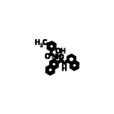 Cc1ccc(O)c(C(=O)Nc2cc3ccccc3cc2C(=O)NC2CCCc3ccccc32)c1